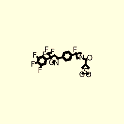 O=C(C1CS(=O)(=O)C1)N1CC(F)(c2ccc(C3=NOC(c4cc(F)c(F)c(F)c4)(C(F)(F)F)C3)cc2)C1